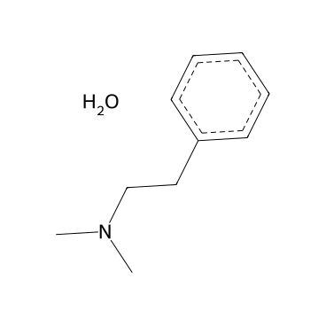 CN(C)CCc1ccccc1.O